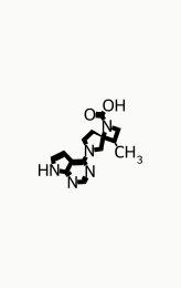 C[C@H]1CN(C(=O)O)[C@]12CCN(c1ncnc3[nH]ccc13)C2